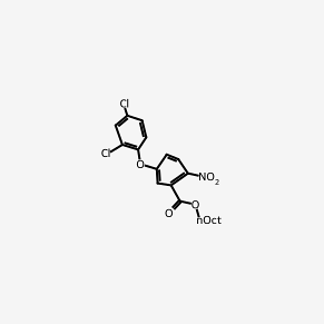 CCCCCCCCOC(=O)c1cc(Oc2ccc(Cl)cc2Cl)ccc1[N+](=O)[O-]